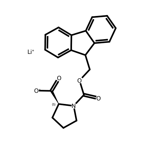 O=C([O-])[C@@H]1CCCN1C(=O)OCC1c2ccccc2-c2ccccc21.[Li+]